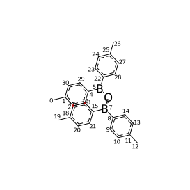 Cc1ccc(B(OB(c2ccc(C)cc2)c2ccc(C)cc2)c2ccc(C)cc2)cc1